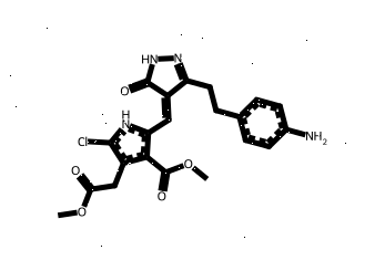 COC(=O)Cc1c(Cl)[nH]c(C=C2C(=O)NN=C2CCc2ccc(N)cc2)c1C(=O)OC